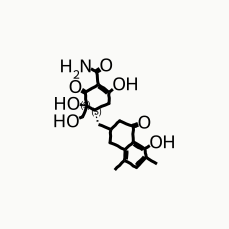 Cc1cc(C)c2c(c1O)C(=O)CC(C[C@H]1CC(O)=C(C(N)=O)C(=O)[C@@]1(O)CO)C2